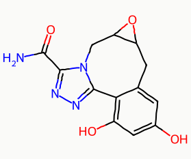 NC(=O)c1nnc2n1CC1OC1Cc1cc(O)cc(O)c1-2